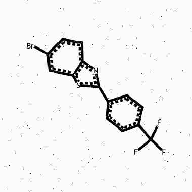 FC(F)(F)c1ccc(-c2nc3ccc(Br)cc3s2)cc1